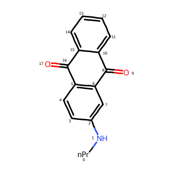 CCCNc1ccc2c(c1)C(=O)c1ccccc1C2=O